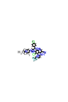 CC(C)(C)N1CCC(n2cc([C@@H](Nc3cc(Cl)cc4c(Nc5ccn(CC(F)(F)F)n5)c(C#N)cnc34)c3ccc(Cl)cc3)nn2)CC1